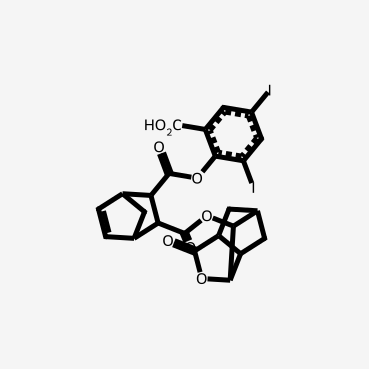 O=C(O)c1cc(I)cc(I)c1OC(=O)C1C2C=CC(C2)C1C(=O)OC1C2CC3C(=O)OC1C3C2